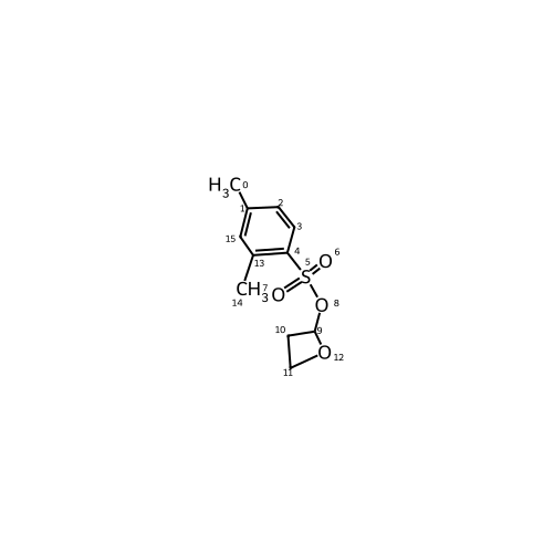 Cc1ccc(S(=O)(=O)OC2CCO2)c(C)c1